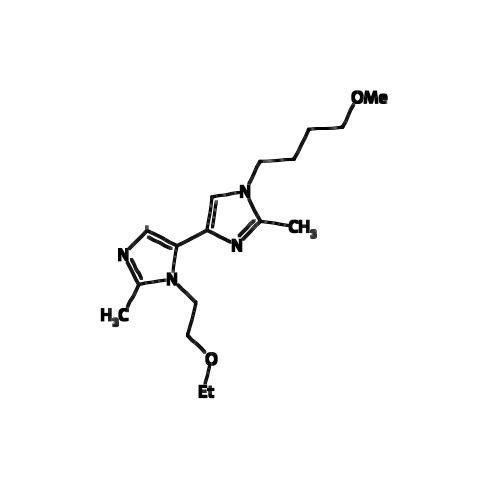 CCOCCn1c(-c2cn(CCCCOC)c(C)n2)[c]nc1C